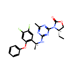 CC[C@H]1COC(=O)N1c1nc(C)nc(N[C@@H](C)c2cc(F)c(F)cc2Oc2ccccc2)n1